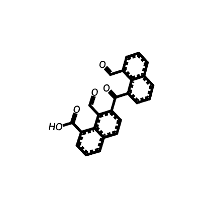 O=Cc1cccc2cccc(C(=O)c3ccc4cccc(C(=O)O)c4c3C=O)c12